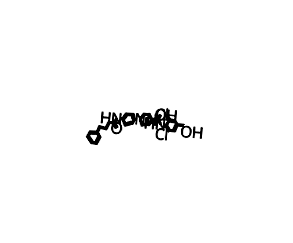 O=C(CCCc1ccccc1)Nc1ccc(N2CCN(C(O)Nc3c(Cl)cc(CO)cc3Cl)CC2)cc1